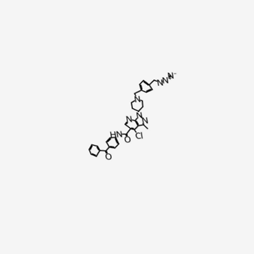 Cc1nn(C2CCN(Cc3ccc(CN=[N+]=[N-])cc3)CC2)c2ncc(C(=O)Nc3ccc(C(=O)c4ccccc4)cc3)c(Cl)c12